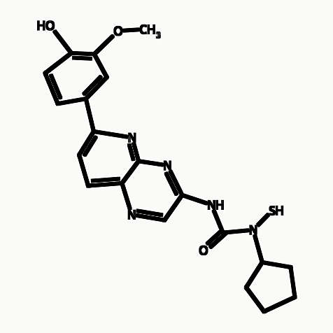 COc1cc(-c2ccc3ncc(NC(=O)N(S)C4CCCC4)nc3n2)ccc1O